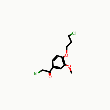 COc1cc(C(=O)CBr)ccc1OCCCCl